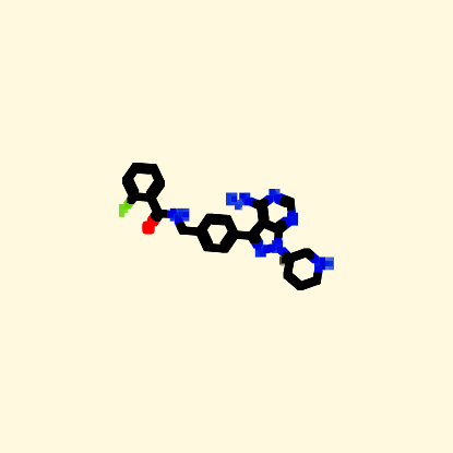 Nc1ncnc2c1c(-c1ccc(CNC(=O)c3ccccc3F)cc1)nn2[C@@H]1CCCNC1